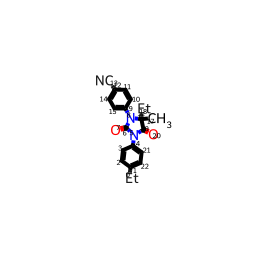 CCc1ccc(N2C(=O)N(c3ccc(C#N)cc3)C(C)(CC)C2=O)cc1